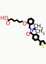 CC(C)N(Cc1ccccc1OCCCCCC(=O)O)C(=O)c1ccc(-c2ccsc2)cc1